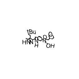 Cc1[nH]nc(-c2cc3c([nH]2)CC(N(CCO)C(=O)CC2CCCOC2)C=C3)c1CCC(C)(C)C